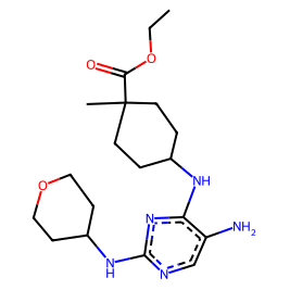 CCOC(=O)C1(C)CCC(Nc2nc(NC3CCOCC3)ncc2N)CC1